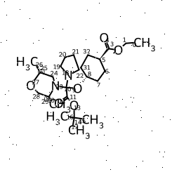 CCOC(=O)[C@H]1CC[C@H](OC(C(=O)OC(C)(C)C)(N2CCCC2)N2C[C@H](C)OC[C@@H]2C)CC1